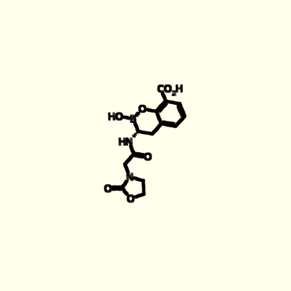 O=C(CN1CCOC1=O)N[C@H]1Cc2cccc(C(=O)O)c2OB1O